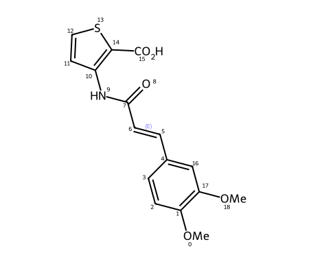 COc1ccc(/C=C/C(=O)Nc2ccsc2C(=O)O)cc1OC